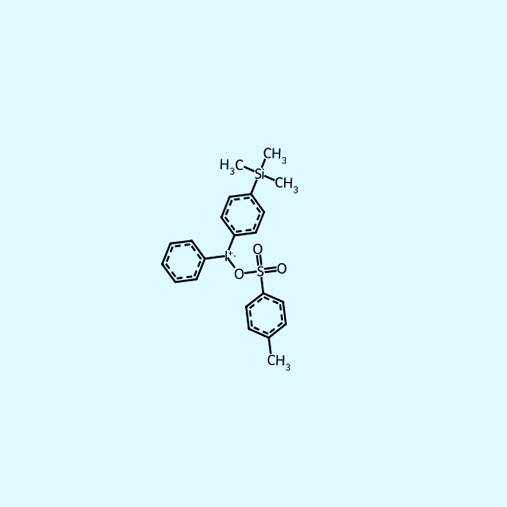 Cc1ccc(S(=O)(=O)O[I+](c2ccccc2)c2ccc([Si](C)(C)C)cc2)cc1